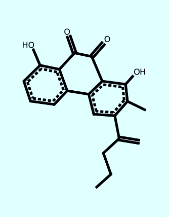 C=C(CCC)c1cc2c(c(O)c1C)C(=O)C(=O)c1c(O)cccc1-2